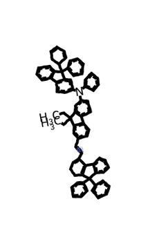 CCC1(CC)c2cc(/C=C/C3=CCCC4=C3c3ccccc3C4(c3ccccc3)c3ccccc3)ccc2-c2ccc(N(c3ccccc3)c3ccc4c(c3)C(c3ccccc3)(C3C=CC=CC3)c3ccccc3-4)cc21